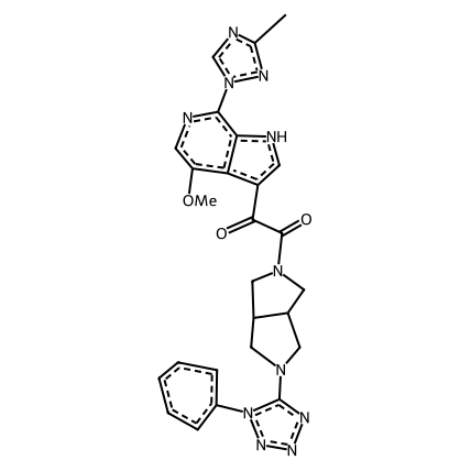 COc1cnc(-n2cnc(C)n2)c2[nH]cc(C(=O)C(=O)N3CC4CN(c5nnnn5-c5ccccc5)CC4C3)c12